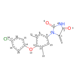 C=C1C(=O)NC(=O)N1c1cc(C)c(Oc2ccc(Cl)cc2)c(C)c1